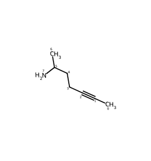 CC#CCCC(C)N